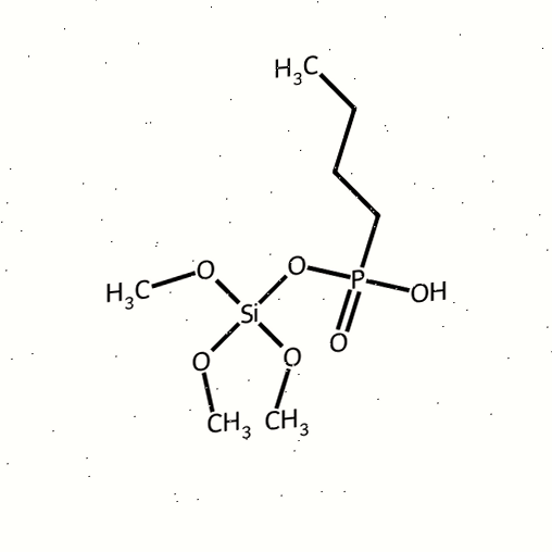 CCCCP(=O)(O)O[Si](OC)(OC)OC